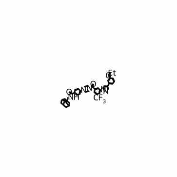 CCOc1cccc(-c2cnn(-c3cc(C(=O)N4CCN(c5ccc(C(=O)NCC67CC8CC(CC(C8)C6)C7)cc5)CC4)cc(C(F)(F)F)c3)c2)c1